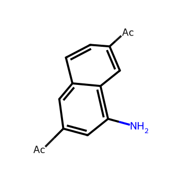 CC(=O)c1cc(N)c2cc(C(C)=O)ccc2c1